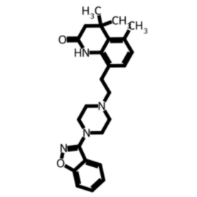 Cc1ccc(CCN2CCN(c3noc4ccccc34)CC2)c2c1C(C)(C)CC(=O)N2